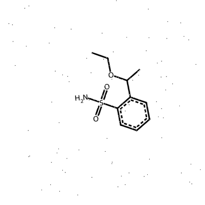 CCOC(C)c1ccccc1S(N)(=O)=O